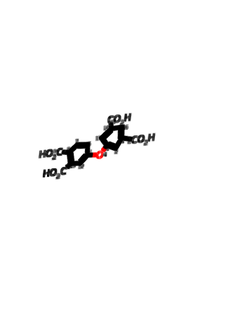 O=C(O)c1cc(Oc2ccc(C(=O)O)c(C(=O)O)c2)cc(C(=O)O)c1